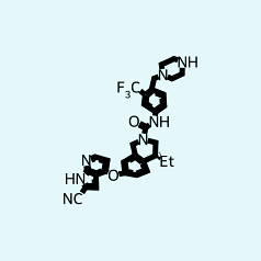 CC[C@@H]1CN(C(=O)Nc2ccc(CN3CCNCC3)c(C(F)(F)F)c2)Cc2cc(Oc3ccnc4[nH]c(C#N)cc34)ccc21